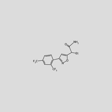 CCC(C(N)=O)c1cc(-c2ccc(C(F)(F)F)cc2C(F)(F)F)no1